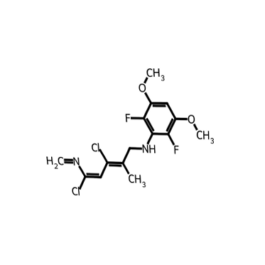 C=N/C(Cl)=C\C(Cl)=C(/C)CNc1c(F)c(OC)cc(OC)c1F